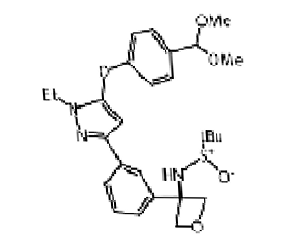 CCn1nc(-c2cccc(C3(N[S+]([O-])C(C)(C)C)COC3)c2)cc1Oc1ccc(C(OC)OC)cc1